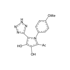 COc1ccc(-n2c(C(C)=O)c(O)c(O)c2-c2nn[nH]n2)cc1